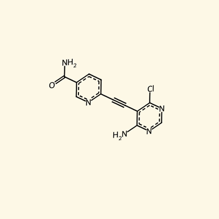 NC(=O)c1ccc(C#Cc2c(N)ncnc2Cl)nc1